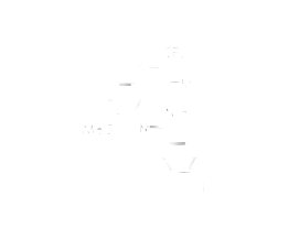 COc1cc(C)c(SCC(F)(F)F)cc1N=C(c1ccc(Cl)cc1)N1CCOCC1